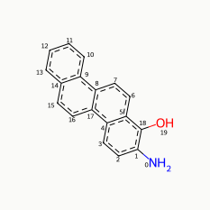 Nc1ccc2c(ccc3c4ccccc4ccc23)c1O